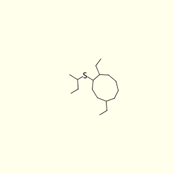 CCC1CCCCC(CC)C(SC(C)CC)CC1